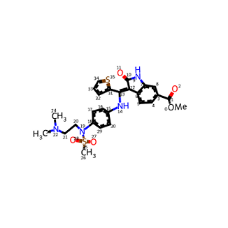 COC(=O)c1ccc2c(c1)NC(=O)C2=C(Nc1ccc(N(CCN(C)C)S(C)(=O)=O)cc1)c1cccs1